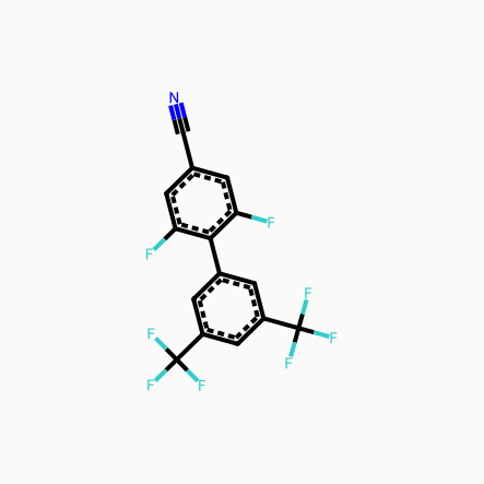 N#Cc1cc(F)c(-c2cc(C(F)(F)F)cc(C(F)(F)F)c2)c(F)c1